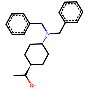 CC(O)[C@H]1CC[C@H](N(Cc2ccccc2)Cc2ccccc2)CC1